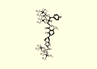 Cc1ccc(-c2ccn3nc(NP(=O)(OC(C)(C)C)OC(C)(C)C)nc3c2)c(F)c1C(=O)NCC(F)(F)C(OP(=O)(OC(C)(C)C)OC(C)(C)C)c1ccc(F)cc1